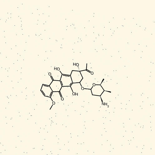 COc1cccc2c1C(=O)c1c(O)c3c(c(O)c1C2=O)C[C@@](O)(C(C)=O)CC3OC1C[C@H](N)[C@H](C)[C@H](C)O1